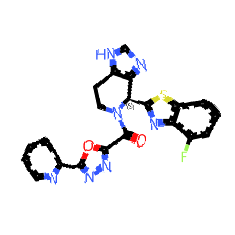 O=C(c1nnc(-c2ccccn2)o1)N1CCc2[nH]cnc2[C@H]1c1nc2c(F)cccc2s1